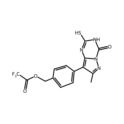 Cc1nn2c(=O)[nH]c(S)nc2c1-c1ccc(COC(=O)C(F)(F)F)cc1